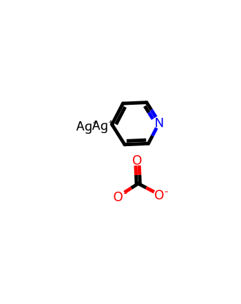 O=C([O-])[O-].[Ag+].[Ag+].c1ccncc1